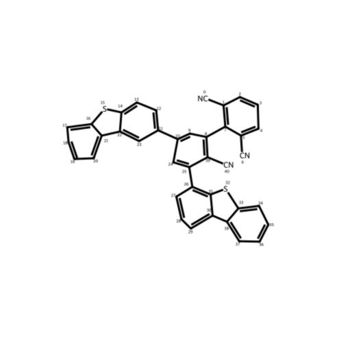 N#Cc1cccc(C#N)c1-c1cc(-c2ccc3sc4ccccc4c3c2)cc(-c2cccc3c2sc2ccccc23)c1C#N